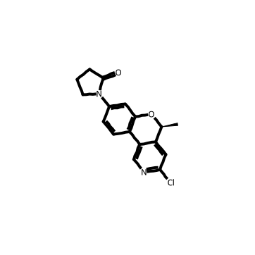 C[C@@H]1Oc2cc(N3CCCC3=O)ccc2-c2cnc(Cl)cc21